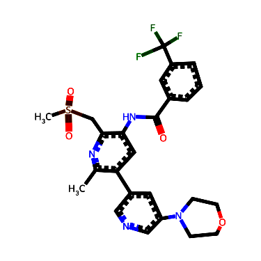 Cc1nc(CS(C)(=O)=O)c(NC(=O)c2cccc(C(F)(F)F)c2)cc1-c1cncc(N2CCOCC2)c1